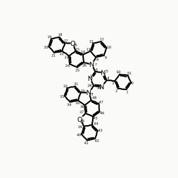 c1ccc(-c2nc(-n3c4ccccc4c4c5oc6ccccc6c5ccc43)nc(-n3c4ccccc4c4c5oc6ccccc6c5ccc43)n2)cc1